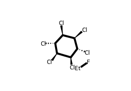 CCF.Cl[C@H]1[C@H](Cl)[C@@H](Cl)[C@@H](Cl)[C@H](Cl)[C@H]1Cl